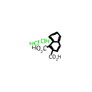 Cl.Cl.O=C(O)c1ccc2ccccc2c1C(=O)O